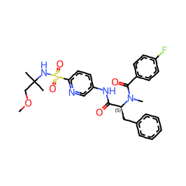 COCC(C)(C)NS(=O)(=O)c1ccc(NC(=O)[C@H](Cc2ccccc2)N(C)C(=O)c2ccc(F)cc2)cn1